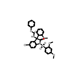 COc1ccc(S(=O)(=O)N2C(=O)C(NC(=O)Oc3ccccc3)(c3ccccc3OC)c3cc(Cl)ccc32)c(OC)c1